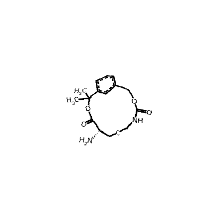 CC1(C)OC(=O)[C@@H](N)CCCNC(=O)OCc2cccc1c2